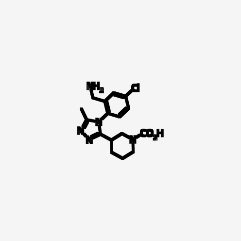 Cc1nnc(C2CCCN(C(=O)O)C2)n1-c1ccc(Cl)cc1CN